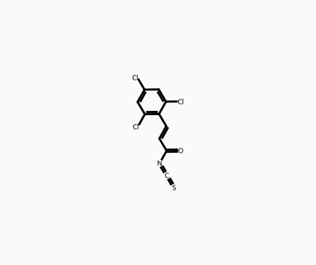 O=C(C=Cc1c(Cl)cc(Cl)cc1Cl)N=C=S